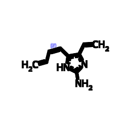 C=C/C=C\c1[nH]c(N)nc1C=C